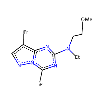 CCN(CCOC)c1nc(C(C)C)n2ncc(C(C)C)c2n1